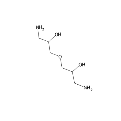 NCC(O)COCC(O)CN